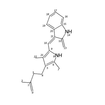 C=C(C)CCc1c(C)[nH]c(/C=c2\c(=C)[nH]c3ccccc23)c1C